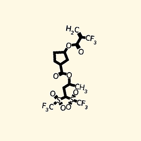 C=C(C(=O)OC1CCC(C(=O)OC(C)CC(S(=O)(=O)C(F)(F)F)S(=O)(=O)C(F)(F)F)C1)C(F)(F)F